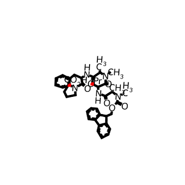 CC(C)CC(NC(=O)C(C)N(C)C(=O)OCC1c2ccccc2-c2ccccc21)C(=O)N(C)C(C)C(=O)NC(Cc1ccccc1)C(=O)N1CCC[C@H]1C(=O)O